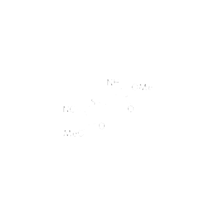 COC(=O)C(N)CSC(C#N)C(=O)OC